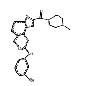 CN1CCN(C(=O)c2cc3c(ccc4cnc(Nc5cccc(C(C)(C)C)c5)nc43)s2)CC1